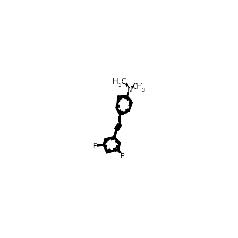 CN(C)c1ccc(C#Cc2cc(F)cc(F)c2)cc1